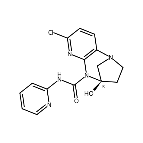 O=C(Nc1ccccn1)N1c2nc(Cl)ccc2N2CC[C@@]1(O)C2